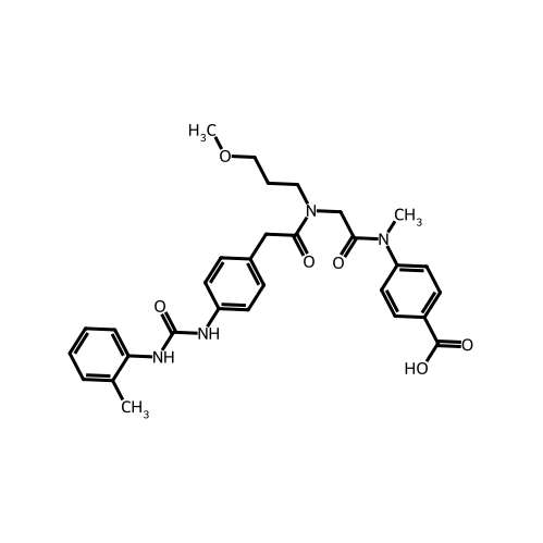 COCCCN(CC(=O)N(C)c1ccc(C(=O)O)cc1)C(=O)Cc1ccc(NC(=O)Nc2ccccc2C)cc1